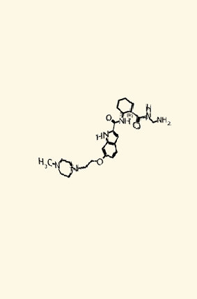 CN1CCN(CCOc2ccc3cc(C(=O)N[C@H]4CCCC[C@H]4C(=O)NCN)[nH]c3c2)CC1